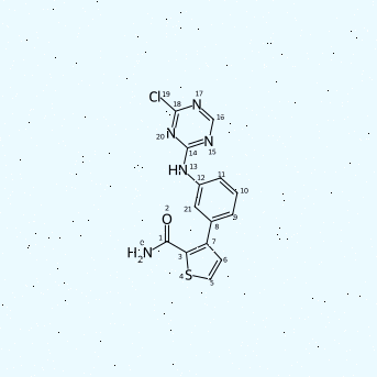 NC(=O)c1sccc1-c1cccc(Nc2ncnc(Cl)n2)c1